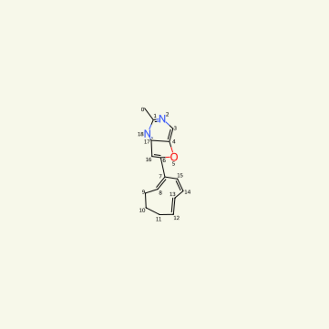 Cc1ncc2oc(C3=C\CCC/C=C/C=C\3)cc2n1